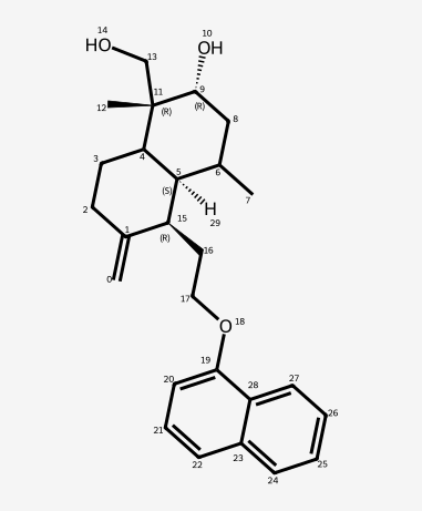 C=C1CCC2[C@@H](C(C)C[C@@H](O)[C@@]2(C)CO)[C@H]1CCOc1cccc2ccccc12